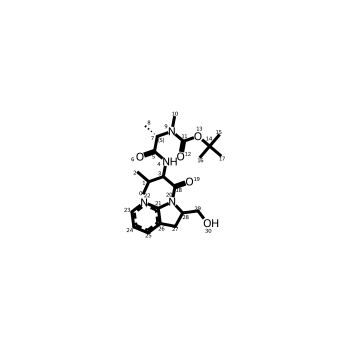 CC(C)C(NC(=O)[C@H](C)N(C)C(=O)OC(C)(C)C)C(=O)N1c2ncccc2CC1CO